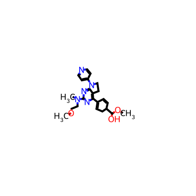 COCCN(C)c1nc(C2=CCC(C(O)OC)C=C2)c2c(n1)N(c1ccncc1)CC2